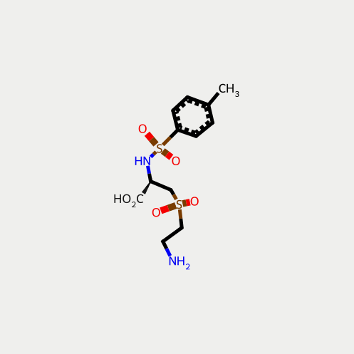 Cc1ccc(S(=O)(=O)N[C@@H](CS(=O)(=O)CCN)C(=O)O)cc1